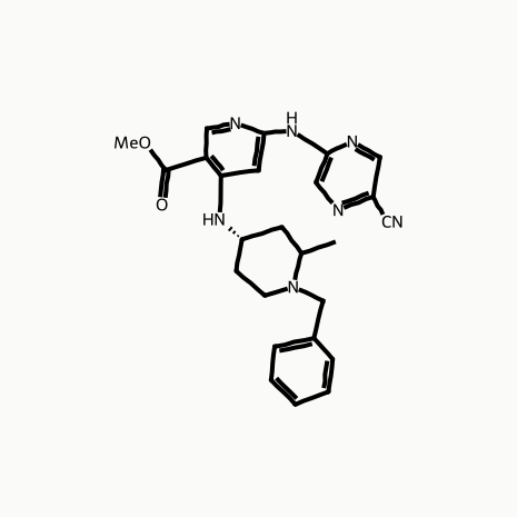 COC(=O)c1cnc(Nc2cnc(C#N)cn2)cc1N[C@H]1CCN(Cc2ccccc2)C(C)C1